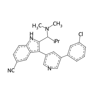 CC(C)C(c1[nH]c2ccc(C#N)cc2c1-c1cncc(-c2cccc(Cl)c2)c1)N(C)C